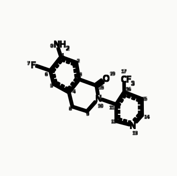 Nc1cc2c(cc1F)CCN(c1cnccc1C(F)(F)F)C2=O